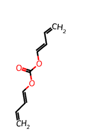 C=C/C=C/OC(=O)O/C=C/C=C